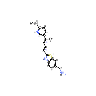 CC/C(=C\C=C\c1nc2ccc(CN)cc2s1)c1ccc(NC)nc1